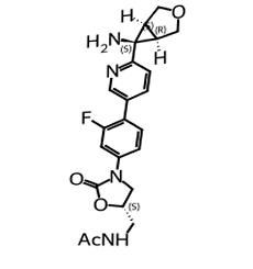 CC(=O)NC[C@H]1CN(c2ccc(-c3ccc([C@@]4(N)[C@@H]5COC[C@@H]54)nc3)c(F)c2)C(=O)O1